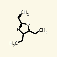 C=CC1=NC(CC)C(CC)O1